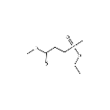 CCOP(C)(=O)CCC(=O)OC